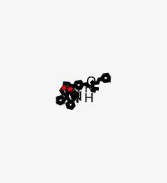 CC(C)[C@H](NCc1ccc(-c2ccccc2-c2nnnn2C(c2ccccc2)(c2ccccc2)c2ccccc2)cc1)C(=O)CCc1ccccc1